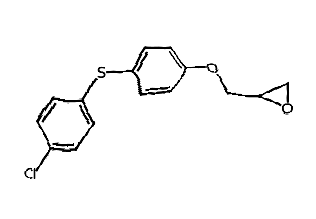 Clc1ccc(Sc2ccc(OCC3CO3)cc2)cc1